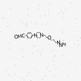 CCCN(C)CCCOCCN1CCN(c2ccc(C=O)cc2)CC1